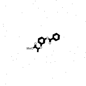 COC(=O)C(C)Oc1cccc(OC(=O)c2ccccc2)c1